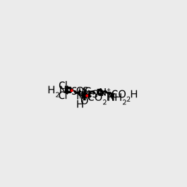 Nc1c(Cl)cc(SCC(=O)N[C@H]2C(=O)N3C(C(=O)O)=C(CSc4cc[n+](CCC[C@H](N)C(=O)O)cc4)CS[C@H]23)cc1Cl